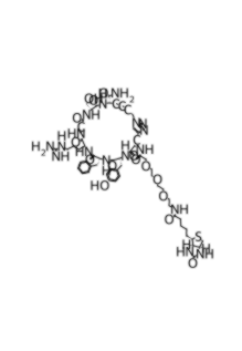 N=C(N)NCCCC1NC(=O)[C@@H](Cc2ccccc2)NC(=O)[C@@H](Cc2ccc(O)cc2)NC(=O)[C@@H](NC(=O)COCCOCCOCCNC(=O)CCCC[C@H]2SC[C@H]3NC(=O)N[C@H]32)Cc2cn(nn2)CCCC[C@@H](C(N)=O)NC(=O)[C@@H](CO)NC(=O)CNC1=O